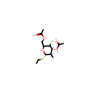 CCS[C@@H]1OC(COC(C)=O)C(F)[C@H](OC(C)=O)C1C